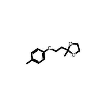 Cc1ccc(OCCC2(C)OCCO2)cc1